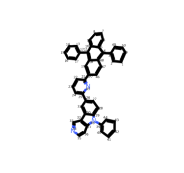 c1ccc(-c2c3ccccc3c(-c3ccccc3)c3cc(-c4cccc(-c5ccc6c(c5)c5cnccc5n6-c5ccccc5)n4)ccc23)cc1